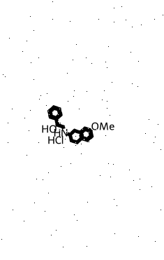 COc1ccc2c(c1)CC(NC[C@H](O)c1ccccc1)CC2.Cl